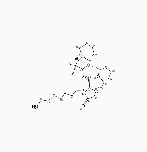 CCCCC(C)(C)C(/C=C/[C@H]1[C@H](OC2CCCCO2)CC(=O)[C@@H]1CCCCCCCO)OC1CCCCO1